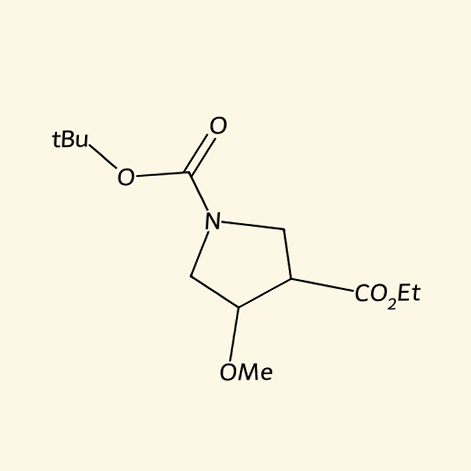 CCOC(=O)C1CN(C(=O)OC(C)(C)C)CC1OC